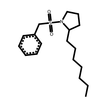 CCCCCCCC1CCCN1S(=O)(=O)Cc1ccccc1